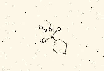 CCN(N=O)C(=O)N(Cl)C1CCCCC1